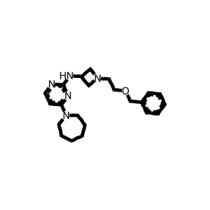 c1ccc(COCCN2CC(Nc3nccc(N4CCCCCC4)n3)C2)cc1